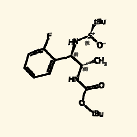 C[C@H](NC(=O)OC(C)(C)C)[C@H](N[S@+]([O-])C(C)(C)C)c1ccccc1F